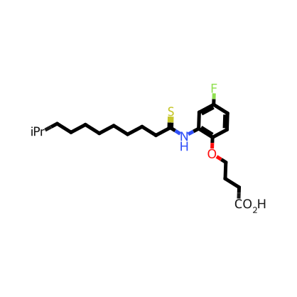 CC(C)CCCCCCCCC(=S)Nc1cc(F)ccc1OCCCC(=O)O